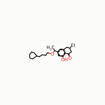 CCC1CC(=O)c2c(O)cc(C(C)OCCCCC3CCCCC3)cc2C1